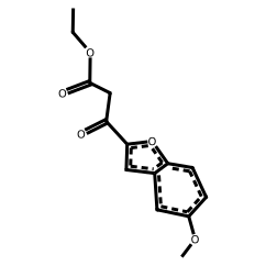 CCOC(=O)CC(=O)c1cc2cc(OC)ccc2o1